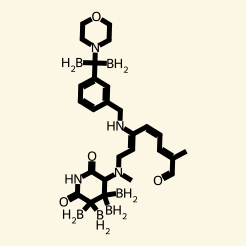 BC(B)(c1cccc(CNC(/C=C\C=C(/C)C=O)=C\CN(C)C2C(=O)NC(=O)C(B)(B)C2(B)B)c1)N1CCOCC1